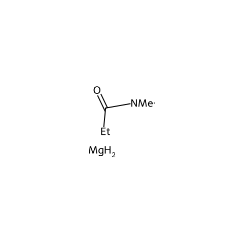 CCC(=O)[N]C.[MgH2]